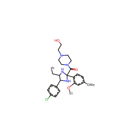 CCOc1cc(OC)ccc1C1(C(=O)N2CCN(CCO)CC2)NC(CC(C)C)C(c2ccc(Cl)cc2)N1